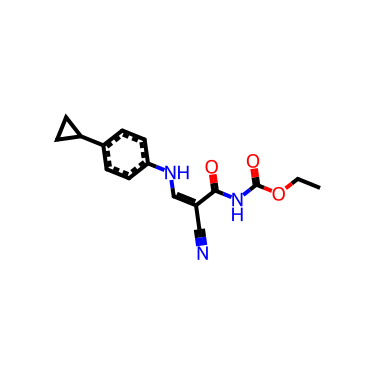 CCOC(=O)NC(=O)/C(C#N)=C\Nc1ccc(C2CC2)cc1